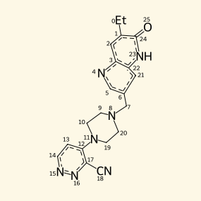 CCc1cc2ncc(CN3CCN(c4ccnnc4C#N)CC3)cc2[nH]c1=O